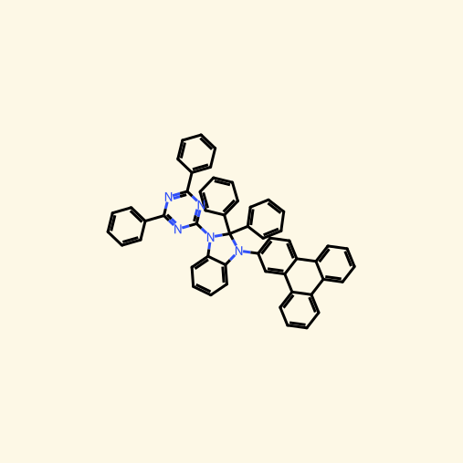 c1ccc(-c2nc(-c3ccccc3)nc(N3c4ccccc4N(c4ccc5c6ccccc6c6ccccc6c5c4)C3(c3ccccc3)c3ccccc3)n2)cc1